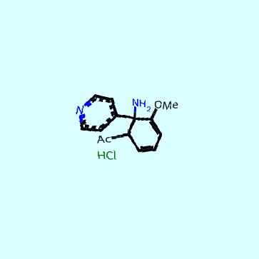 COC1=CC=CC(C(C)=O)C1(N)c1ccncc1.Cl